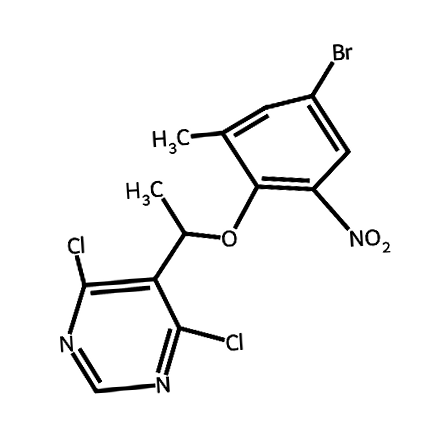 Cc1cc(Br)cc([N+](=O)[O-])c1OC(C)c1c(Cl)ncnc1Cl